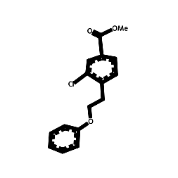 COC(=O)c1ccc(CCOc2ccccc2)c(Cl)c1